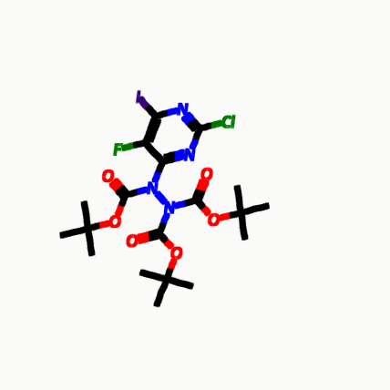 CC(C)(C)OC(=O)N(C(=O)OC(C)(C)C)N(C(=O)OC(C)(C)C)c1nc(Cl)nc(I)c1F